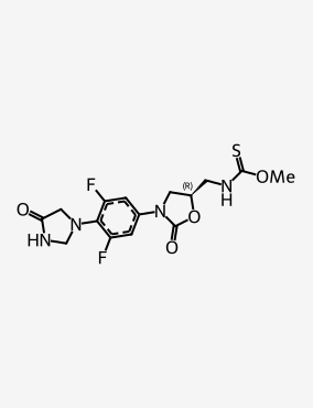 COC(=S)NC[C@@H]1CN(c2cc(F)c(N3CNC(=O)C3)c(F)c2)C(=O)O1